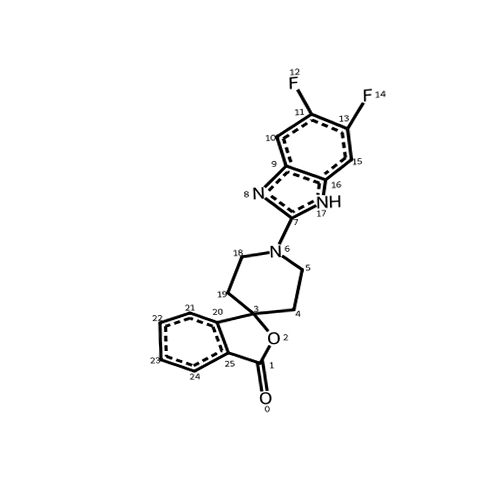 O=C1OC2(CCN(c3nc4cc(F)c(F)cc4[nH]3)CC2)c2ccccc21